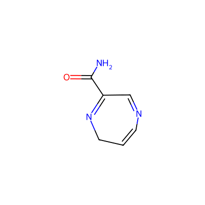 NC(=O)C1=NCC=CN=C1